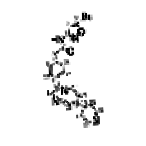 CC(C)(C)c1cc(NC(=O)Cc2ccc(-c3cnc4cc(-c5ccncc5)ccn34)cc2)no1